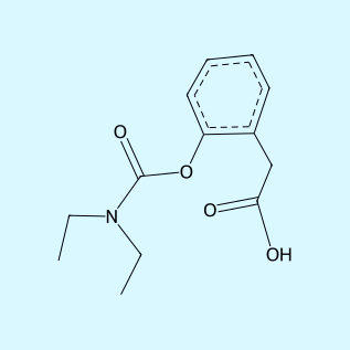 CCN(CC)C(=O)Oc1ccccc1CC(=O)O